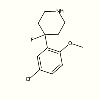 COc1ccc(Cl)cc1C1(F)CCNCC1